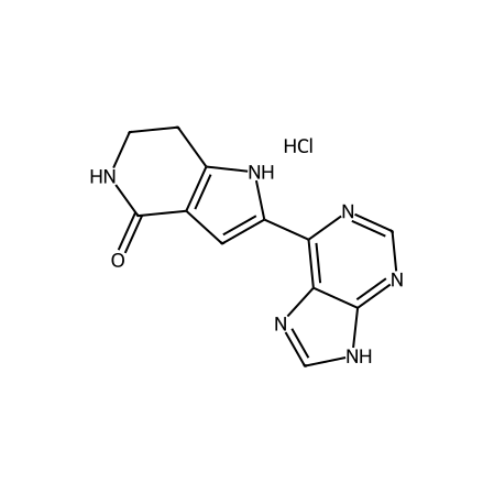 Cl.O=C1NCCc2[nH]c(-c3ncnc4[nH]cnc34)cc21